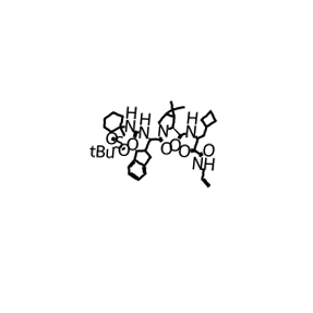 C=CCNC(=O)C(=O)C(CC1CCC1)NC(=O)[C@@H]1C2C(CN1C(=O)[C@@H](NC(=O)NC1(CS(=O)(=O)C(C)(C)C)CCCCC1)C1Cc3ccccc3C1)C2(C)C